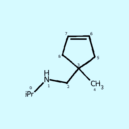 CC(C)NCC1(C)CC=CC1